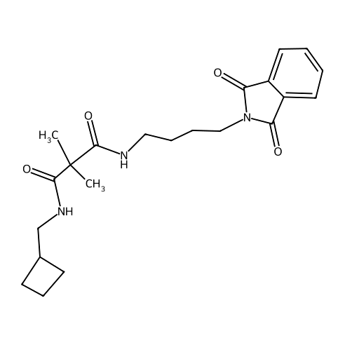 CC(C)(C(=O)NCCCCN1C(=O)c2ccccc2C1=O)C(=O)NCC1CCC1